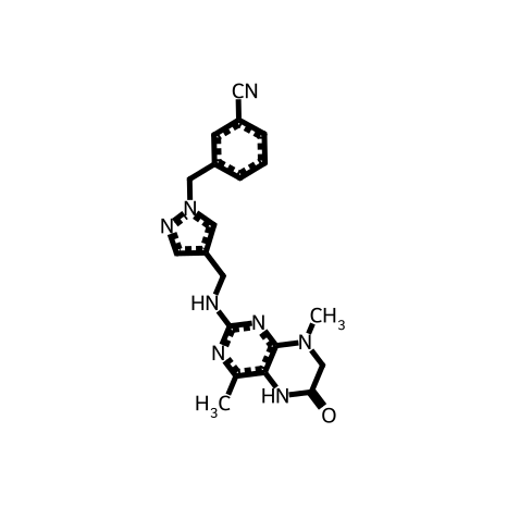 Cc1nc(NCc2cnn(Cc3cccc(C#N)c3)c2)nc2c1NC(=O)CN2C